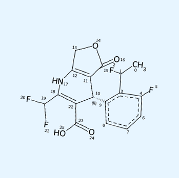 CC(F)c1c(F)cccc1[C@H]1C2=C(COC2=O)NC(C(F)F)=C1C(=O)O